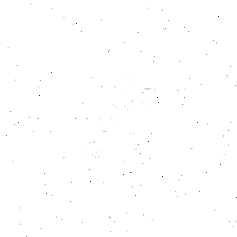 Cl.Cl.NC[C@H](C(=O)Nc1ccc(-c2cn[nH]c2)cc1)c1ccccc1